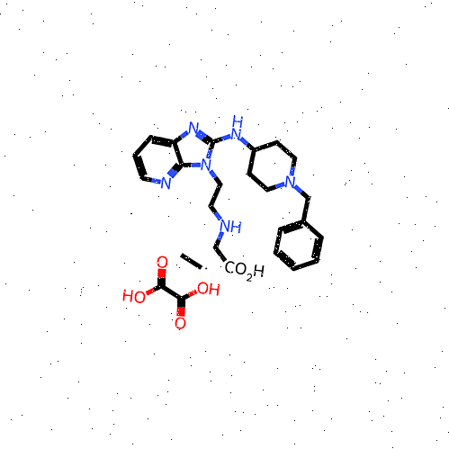 O=C(O)C(=O)O.O=C(O)CNCCn1c(NC2CCN(Cc3ccccc3)CC2)nc2cccnc21.[CH2]C